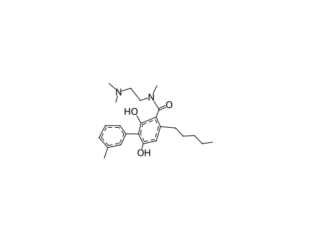 CCCCCc1cc(O)c(-c2cccc(C)c2)c(O)c1C(=O)N(C)CCN(C)C